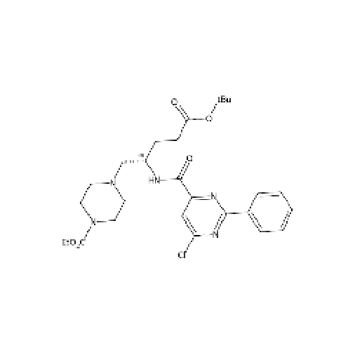 CCOC(=O)N1CCN(C[C@H](CCC(=O)OC(C)(C)C)NC(=O)c2cc(Cl)nc(-c3ccccc3)n2)CC1